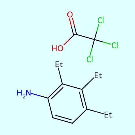 CCc1ccc(N)c(CC)c1CC.O=C(O)C(Cl)(Cl)Cl